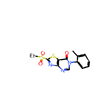 CCS(=O)(=O)c1nc2ncn(-c3ccccc3C)c(=O)c2s1